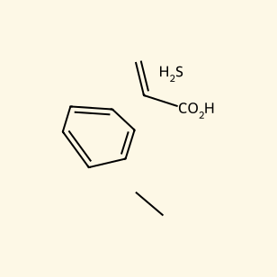 C=CC(=O)O.CC.S.c1ccccc1